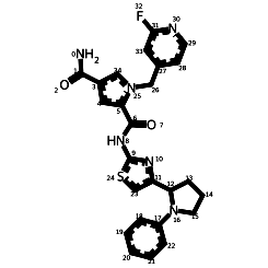 NC(=O)c1cc(C(=O)Nc2nc(C3CCCN3c3ccccc3)cs2)n(Cc2ccnc(F)c2)c1